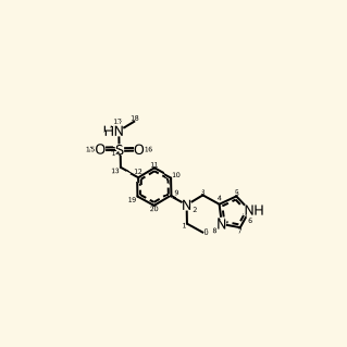 CCN(Cc1c[nH]cn1)c1ccc(CS(=O)(=O)NC)cc1